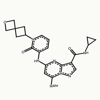 CNc1cc(Nc2cccn(C3CC4(COC4)C3)c2=O)nc2c(C(=O)NC3CC3)cnn12